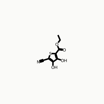 CCOC(=O)c1sc(C#N)c(O)c1O